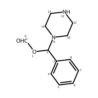 O=COC(c1ccccc1)N1CCNCC1